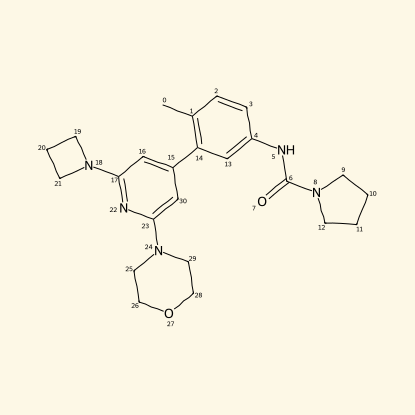 Cc1ccc(NC(=O)N2CCCC2)cc1-c1cc(N2CCC2)nc(N2CCOCC2)c1